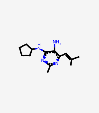 CC(C)=Cc1nc(C)nc(NC2CCCC2)c1N